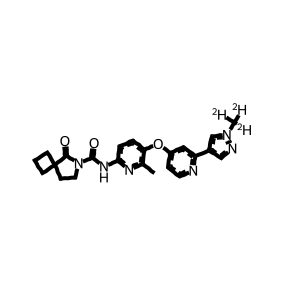 [2H]C([2H])([2H])n1cc(-c2cc(Oc3ccc(NC(=O)N4CCC5(CCC5)C4=O)nc3C)ccn2)cn1